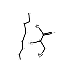 CCCCCCCC.O=C(O)C(O)CO